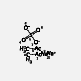 CC(C)=O.CC(C)=O.O=S(=O)([O-])[O-].[Na+].[Na+]